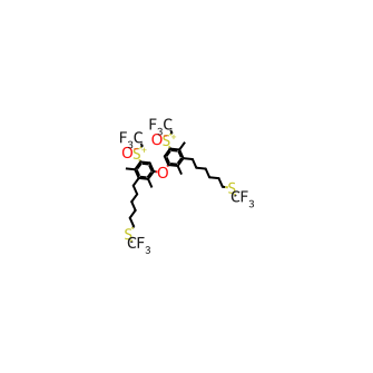 Cc1c(Oc2cc([S+]([O-])CC(F)(F)F)c(C)c(CCCCCCSC(F)(F)F)c2C)cc([S+]([O-])CC(F)(F)F)c(C)c1CCCCCCSC(F)(F)F